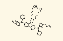 C=CCCCCCCC1(CCCCCCC=C)c2cc(N(c3ccccc3)c3ccc(CC)s3)ccc2-c2ccc(N(c3ccccc3)c3ccc(CC)s3)cc21